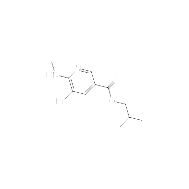 CNc1ncc(C(=O)OCC(C)C)cc1Br